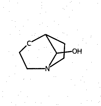 OC1C2CCCN1CC2